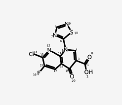 O=C(O)c1cn(-c2ncns2)c2nc(Cl)c(F)cc2c1=O